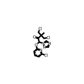 CC(CCl)(CCl)C(=O)C(Oc1cccc(Cl)n1)n1cncn1